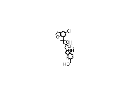 CC(C)(CC(O)(Cc1cc2nc(CO)ccc2[nH]1)C(F)(F)F)c1cc(Cl)cc2c1OCC2